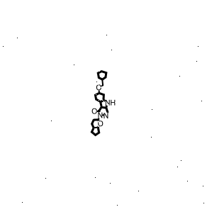 O=c1c2c(cnn1-c1ccc3cccc-3o1)[nH]c1cc(OCc3ccccc3)ccc12